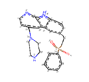 O=S(=O)(Cc1ccc2[nH]c3nccc(N4CCNCC4)c3c2c1)c1ccccc1